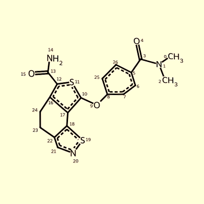 CN(C)C(=O)c1ccc(Oc2sc(C(N)=O)c3c2-c2sncc2CC3)cc1